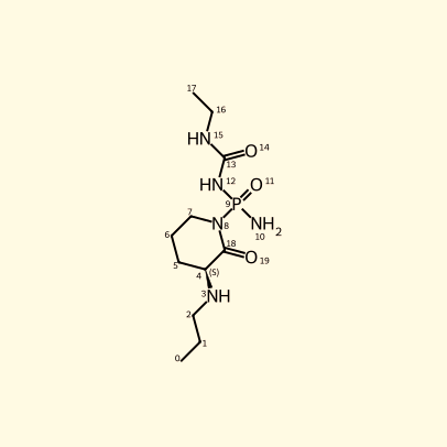 CCCN[C@H]1CCCN(P(N)(=O)NC(=O)NCC)C1=O